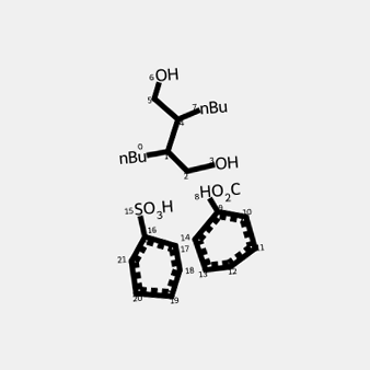 CCCCC(CO)C(CO)CCCC.O=C(O)c1ccccc1.O=S(=O)(O)c1ccccc1